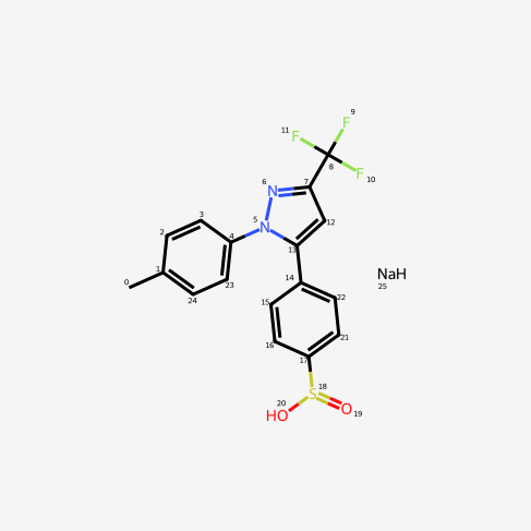 Cc1ccc(-n2nc(C(F)(F)F)cc2-c2ccc(S(=O)O)cc2)cc1.[NaH]